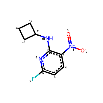 O=[N+]([O-])c1ccc(F)nc1NC1CCC1